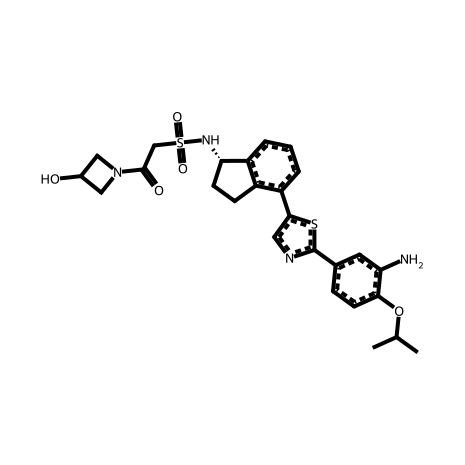 CC(C)Oc1ccc(-c2ncc(-c3cccc4c3CC[C@@H]4NS(=O)(=O)CC(=O)N3CC(O)C3)s2)cc1N